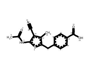 CC(=O)Nc1sc(Cc2ccc(C(=O)O)cc2)c(C)c1C#N